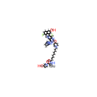 CCc1c(F)ccc2cc(O)cc(-c3ncc4c(N5CC6CCC(C5)N6)nc(OC5CCN(CCCCCCCCCC(=O)NC(C(=O)N6CC[C@@H](O)C6)C(C)(C)C)CC5)nc4c3F)c12